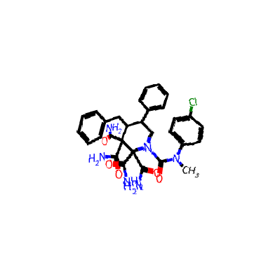 CN(C(=O)N1CC(c2ccccc2)C(Cc2ccccc2)C(C(N)=O)(C(N)=O)C1(C(N)=O)C(N)=O)c1ccc(Cl)cc1